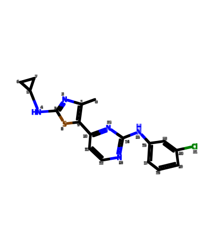 Cc1nc(NC2CC2)sc1-c1ccnc(Nc2cccc(Cl)c2)n1